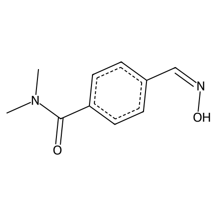 CN(C)C(=O)c1ccc(/C=N\O)cc1